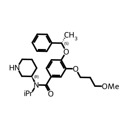 COCCCOc1cc(C(=O)N(C(C)C)[C@@H]2CCCNC2)ccc1O[C@@H](C)c1ccccc1